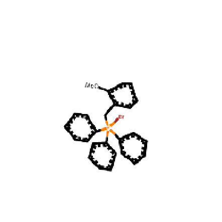 COc1ccccc1CP(Br)(c1ccccc1)(c1ccccc1)c1ccccc1